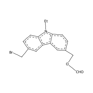 CCn1c2ccc(CBr)cc2c2cc(COC=O)ccc21